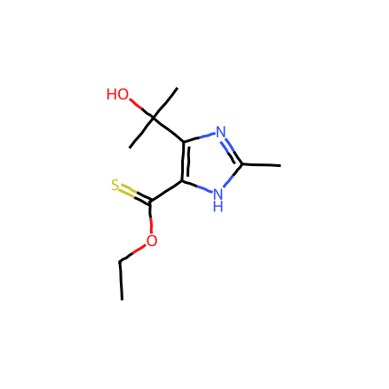 CCOC(=S)c1[nH]c(C)nc1C(C)(C)O